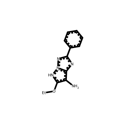 CCOc1[nH]n2nc(-c3ccccc3)nc2c1N